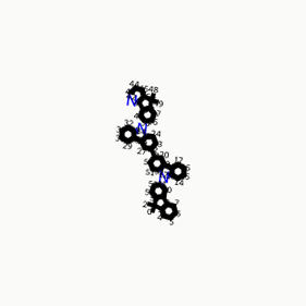 CC1(C)c2ccccc2-c2cc(-n3c4ccccc4c4cc(-c5ccc6c(c5)c5ccccc5n6-c5ccc6c(c5)-c5ncccc5C6(C)C)ccc43)ccc21